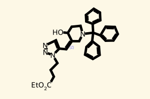 CCOC(=O)CCCn1nncc1/C=C1/CN(C(c2ccccc2)(c2ccccc2)c2ccccc2)CCC1O